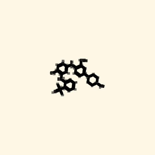 COc1cc(N2CCN(C(C)C)CC2)ccc1Nc1ncc(Cl)c(Nc2ccccc2P(C)(C)=O)n1